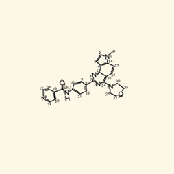 Cn1ccc2c3nc(-c4ccc(NC(=O)c5ccncc5)cc4)nc(N4CCOCC4)c3ccc21